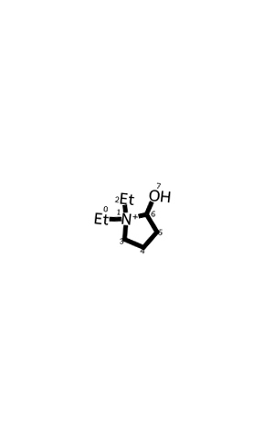 CC[N+]1(CC)CCCC1O